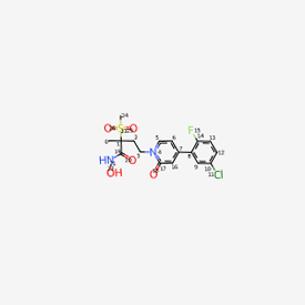 CC(CCn1ccc(-c2cc(Cl)ccc2F)cc1=O)(C(=O)NO)S(C)(=O)=O